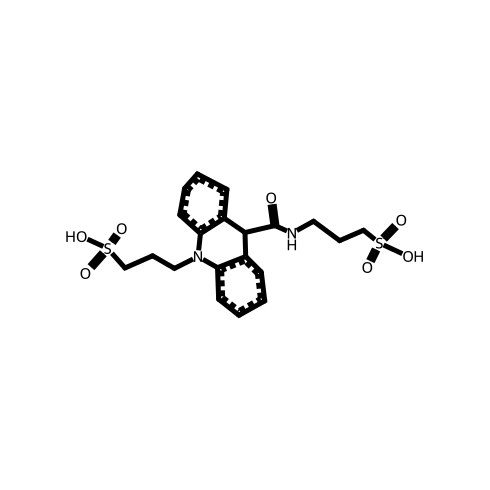 O=C(NCCCS(=O)(=O)O)C1c2ccccc2N(CCCS(=O)(=O)O)c2ccccc21